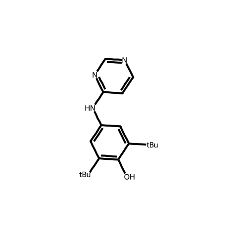 CC(C)(C)c1cc(Nc2ccncn2)cc(C(C)(C)C)c1O